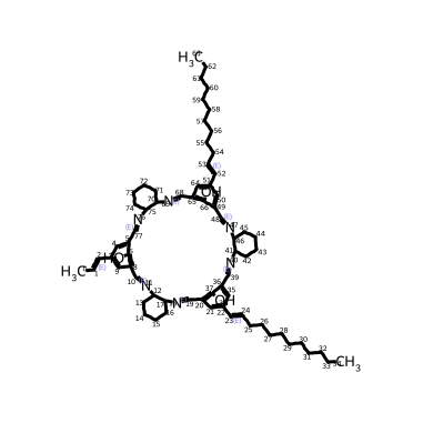 C/C=C/c1cc2c(O)c(c1)/C=N/C1CCCCC1/N=C/c1cc(/C=C/CCCCCCCCCC)cc(c1O)/C=N/C1CCCCC1/N=C/c1cc(/C=C/CCCCCCCCCC)cc(c1O)/C=N/C1CCCCC1/N=C/2